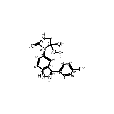 CCOC1(O)CNC(=O)N1c1ccc2[nH]nc(-c3ccc(F)cc3)c2c1